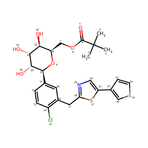 CC(C)(C)C(=O)OC[C@H]1O[C@@H](c2ccc(Cl)c(Cc3ncc(-c4ccsc4)s3)c2)[C@H](O)[C@H](O)[C@H]1O